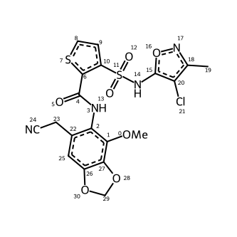 COc1c(NC(=O)c2sccc2S(=O)(=O)Nc2onc(C)c2Cl)c(CC#N)cc2c1OCO2